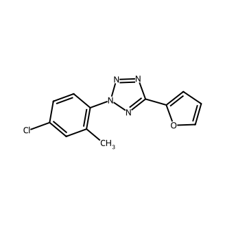 Cc1cc(Cl)ccc1-n1nnc(-c2ccco2)n1